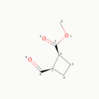 COC(=O)[C@H]1CC[C@H]1C=O